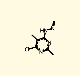 C=NNc1nc(C)nc(Cl)c1C